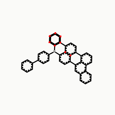 c1ccc(-c2ccc(-c3cccc4c3c(-c3ccc(N(c5ccccc5)c5ccc(-c6ccccc6)cc5)cc3)cc3ccccc34)cc2)cc1